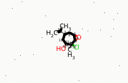 C=C(C)[C@@H]1CC2OC2[C@](C)(Cl)[C@@H](O)C1